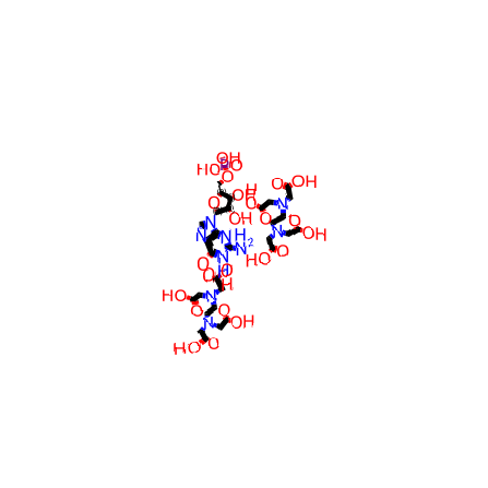 Nc1nc2c(ncn2[C@@H]2O[C@H](COP(=O)(O)O)[C@@H](O)[C@H]2O)c(=O)[nH]1.O=C(O)CN(CCN(CC(=O)O)CC(=O)O)CC(=O)O.O=C(O)CN(CCN(CC(=O)O)CC(=O)O)CC(=O)O